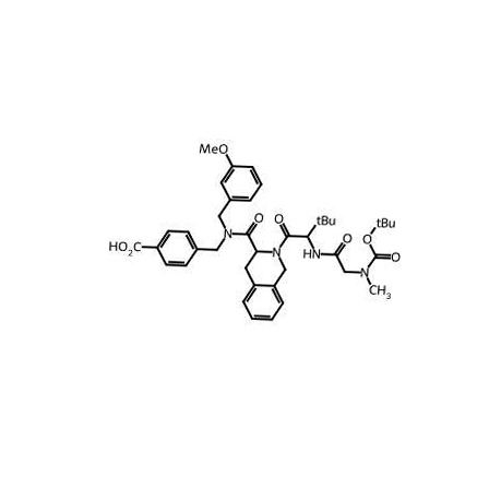 COc1cccc(CN(Cc2ccc(C(=O)O)cc2)C(=O)C2Cc3ccccc3CN2C(=O)C(NC(=O)CN(C)C(=O)OC(C)(C)C)C(C)(C)C)c1